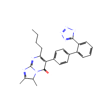 CCCCc1nc2n(c(=O)c1-c1ccc(-c3ccccc3-c3nnn[nH]3)cc1)C(C)C(C)=N2